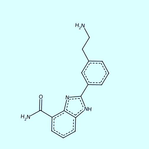 NCCc1cccc(-c2nc3c(C(N)=O)cccc3[nH]2)c1